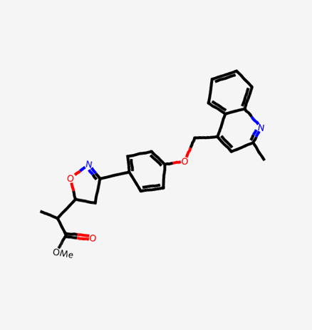 COC(=O)C(C)C1CC(c2ccc(OCc3cc(C)nc4ccccc34)cc2)=NO1